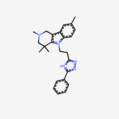 Cc1ccc2c(c1)c1c(n2CCc2nnc(-c3ccccc3)[nH]2)C(C)(C)CN(C)C1